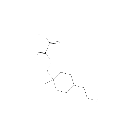 C=C(C)C(=O)OCC1(C)CCC(CCC)CC1